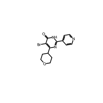 O=c1[nH]c(-c2ccncc2)nc(C2CCOCC2)c1Br